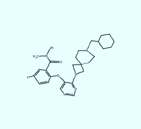 CC(C)N(C)C(=O)c1cc(F)ccc1Oc1cncnc1N1CC2(CCN(CC3CCCCC3)CC2)C1